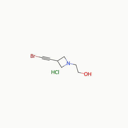 Cl.OCCN1CC(C#CBr)C1